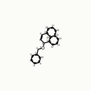 C1=CC(OCc2ccccc2)c2cccc3cccc1c23